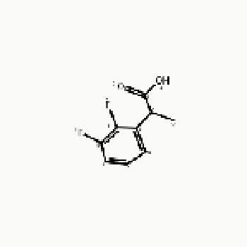 CC(C(=O)O)c1cccc(F)c1F